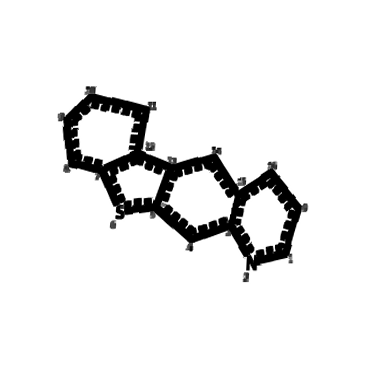 c1cnc2cc3sc4ccccc4c3cc2c1